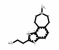 CC(=O)OCCc1nc2ccc3c(c2[nH]1)CCN(C)CC3